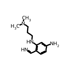 CN(C)CCCNc1cc(N)ccc1C=N